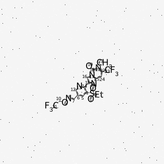 CCS(=O)(=O)c1cc(/C=N/OCC(F)(F)F)cnc1-c1cn2c(=O)n(C)c(C(F)(F)F)cc2n1